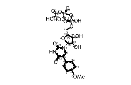 COc1ccc(-c2cn([C@@H]3O[C@H](COP(=O)(O)OP(=O)(O)OP(=O)(O)O)[C@@H](O)[C@H]3O)c(=O)[nH]c2=O)cc1